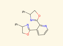 CC(C)C1COC(c2cccnc2C2=NC(C(C)C)CO2)=N1